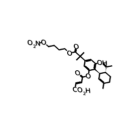 C=C(C)[C@@H]1CCC(C)=C[C@H]1c1c(O)cc(C(C)(C)C(=O)OCCCCO[N+](=O)[O-])cc1OC(=O)/C=C/C(=O)O